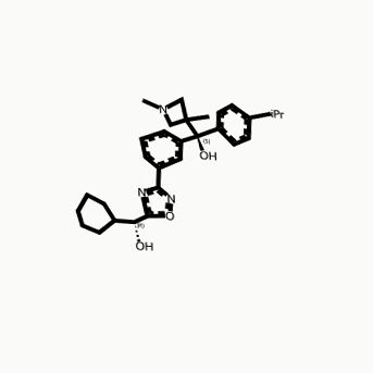 CC(C)c1ccc([C@](O)(c2cccc(-c3noc([C@H](O)C4CCCCC4)n3)c2)C2(C)CN(C)C2)cc1